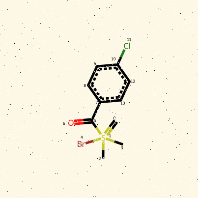 C=S(C)(C)(Br)C(=O)c1ccc(Cl)cc1